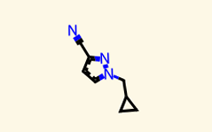 N#Cc1ccn(CC2CC2)n1